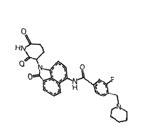 O=C1CCC(N2C(=O)c3cccc4c(NC(=O)c5ccc(CN6CCCCC6)c(F)c5)ccc2c34)C(=O)N1